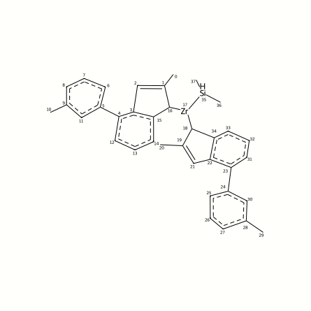 CC1=Cc2c(-c3cccc(C)c3)cccc2[CH]1[Zr]([CH]1C(C)=Cc2c(-c3cccc(C)c3)cccc21)[SiH](C)C